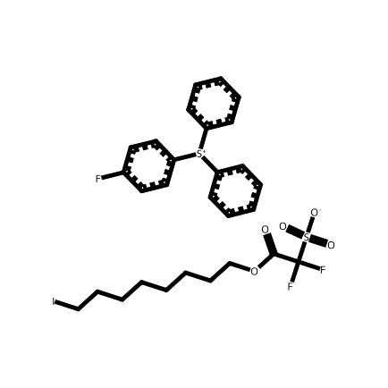 Fc1ccc([S+](c2ccccc2)c2ccccc2)cc1.O=C(OCCCCCCCCI)C(F)(F)S(=O)(=O)[O-]